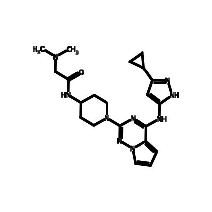 CN(C)CC(=O)NC1CCN(c2nc(Nc3cc(C4CC4)n[nH]3)c3cccn3n2)CC1